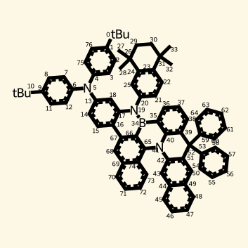 CC(C)(C)c1ccc(N(c2ccc(C(C)(C)C)cc2)c2ccc3c(c2)N(c2ccc4c(c2)C(C)(C)CCC4(C)C)B2c4cccc5c4N(c4cc6ccccc6cc4C5(c4ccccc4)c4ccccc4)c4c2c-3cc2ccccc42)cc1